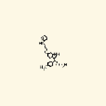 Cc1ccc(C(CC(=O)O)c2c[nH]c3cc(OCCCNc4ccccn4)ccc23)cc1